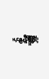 CC1COC(c2cnc(C3=NC(C)(C(C)C)C(=O)N3)c(C(=O)O)c2)O1